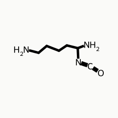 NCCCCC(N)N=C=O